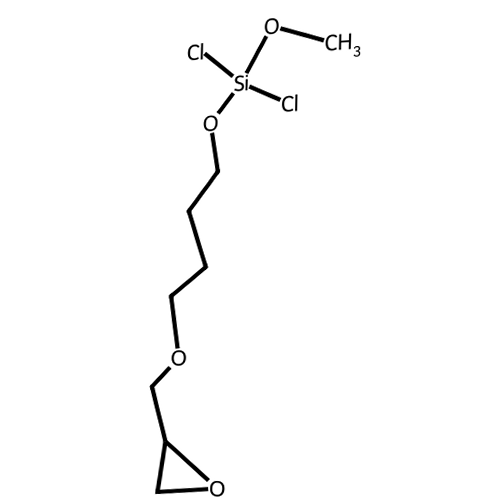 CO[Si](Cl)(Cl)OCCCCOCC1CO1